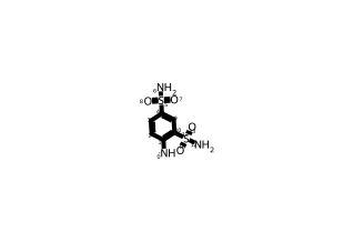 [NH]c1ccc(S(N)(=O)=O)cc1S(N)(=O)=O